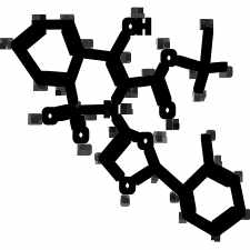 Cc1ccccc1C1OC=C(N2C(C(=O)OC(C)(C)C)=C(O)c3ccccc3S2(=O)=O)O1